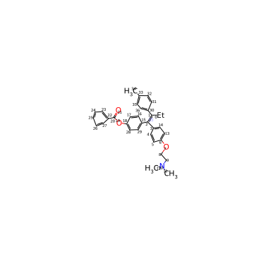 CC/C(=C(\c1ccc(OCCN(C)C)cc1)c1ccc(OC(=O)c2ccccc2)cc1)c1ccc(C)cc1